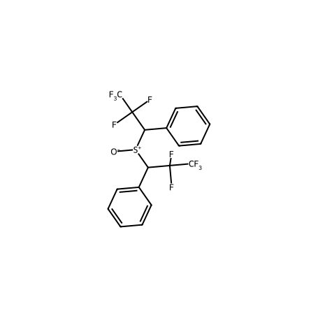 [O-][S+](C(c1ccccc1)C(F)(F)C(F)(F)F)C(c1ccccc1)C(F)(F)C(F)(F)F